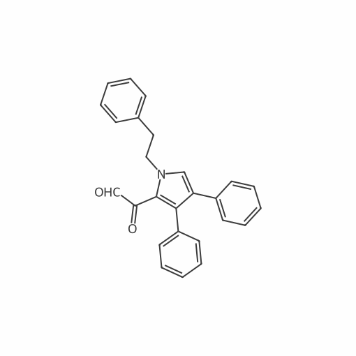 O=CC(=O)c1c(-c2ccccc2)c(-c2ccccc2)cn1CCc1ccccc1